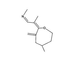 C=C1CC(C)CCO/C1=C(C)/C=N\C